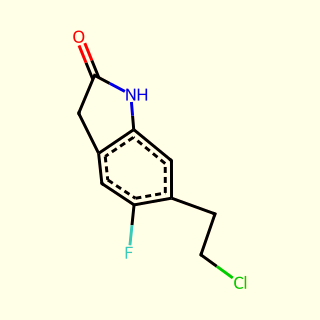 O=C1Cc2cc(F)c(CCCl)cc2N1